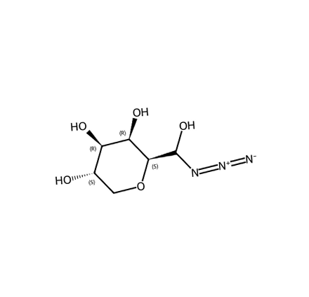 [N-]=[N+]=NC(O)[C@H]1OC[C@H](O)[C@@H](O)[C@H]1O